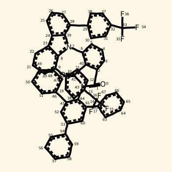 O=C1c2cccc(-n3c4c(-c5ccc(C(F)(F)F)cc5)cccc4c4cccc(-c5ccc(C(F)(F)F)cc5)c43)c2C(=O)N1c1c(-c2ccccc2)cc(-c2ccccc2)cc1-c1ccccc1